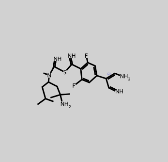 CC(C)CC(CC(C)(C)N)N(C)C(=N)SC(=N)c1c(F)cc(/C(C=N)=C/N)cc1F